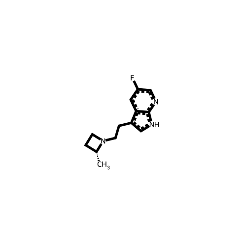 C[C@@H]1CCN1CCc1c[nH]c2ncc(F)cc12